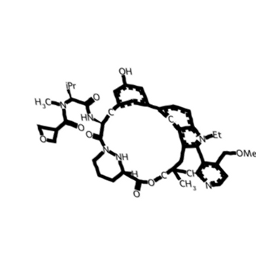 CCn1c(-c2cnccc2COC)c2c3cc(ccc31)-c1cc(O)cc(c1)C[C@H](NC(=O)[C@H](C(C)C)N(C)C(=O)C1COC1)C(=O)N1CCC[C@H](N1)C(=O)OCC(C)(C)C2